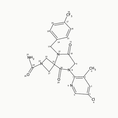 Cc1cc(Cl)cnc1N1CC(=O)N(Cc2ccc(C(F)(F)F)cc2)C2(CN(C(N)=O)C2)C1=O